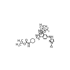 Cc1nc([C@H]2CC[C@H](NC(=O)OC(C)C)CC2)sc1-c1ccc(Nc2ccn(C3CC3)n2)cc1S(=O)(=O)NC(C)(C)C